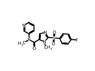 CN(C(=O)c1cnc(S(=O)(=O)c2ccc(F)cc2)n1C)c1cccnc1